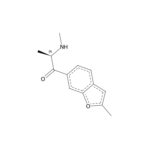 CN[C@H](C)C(=O)c1ccc2cc(C)oc2c1